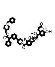 COc1c(CNCC(O)c2ccc(O)c3[nH]c(=O)ccc23)ccc(C(=O)N2CC=C(c3cccc(C(C(=O)OCC4CCN(Cc5ccccc5)CC4)c4ccccc4)c3)CC2)c1F